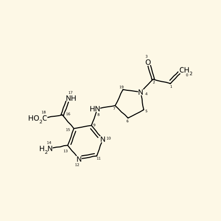 C=CC(=O)N1CCC(Nc2ncnc(N)c2C(=N)C(=O)O)C1